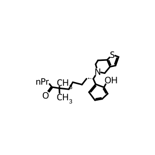 CCCC(=O)C(C)(C)CCCC[C@@H](c1ccccc1O)N1CCc2sccc2C1